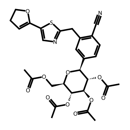 CC(=O)OC[C@H]1O[C@@H](c2ccc(C#N)c(Cc3ncc(C4=CCCO4)s3)c2)[C@H](OC(C)=O)[C@@H](OC(C)=O)[C@@H]1OC(C)=O